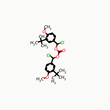 COc1ccc(C(Cl)OC(=O)OC(Cl)c2ccc(OC)c(C(C)(C)C)c2)cc1C(C)(C)C